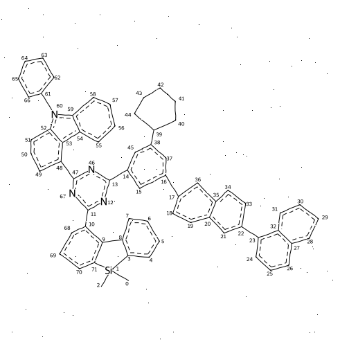 C[Si]1(C)c2ccccc2-c2c(-c3nc(-c4cc(-c5ccc6cc(-c7cccc8ccccc78)ccc6c5)cc(C5CCCCC5)c4)nc(-c4cccc5c4c4ccccc4n5-c4ccccc4)n3)cccc21